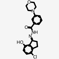 O=C(N/N=C1\CCc2c(Cl)ccc(O)c21)c1cccc(N2CCOCC2)c1